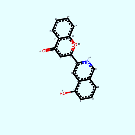 O=c1cc(-c2cc3c(O)cccc3cn2)oc2ccccc12